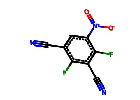 N#Cc1[c]c([N+](=O)[O-])c(F)c(C#N)c1F